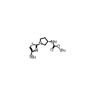 CC(C)(C)OC(=O)N[C@@H]1CCN(c2nc(C(C)(C)C)cs2)C1